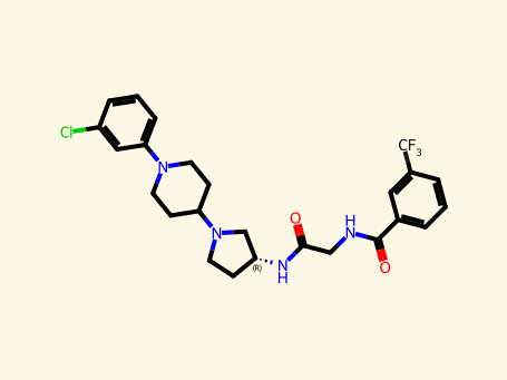 O=C(CNC(=O)c1cccc(C(F)(F)F)c1)N[C@@H]1CCN(C2CCN(c3cccc(Cl)c3)CC2)C1